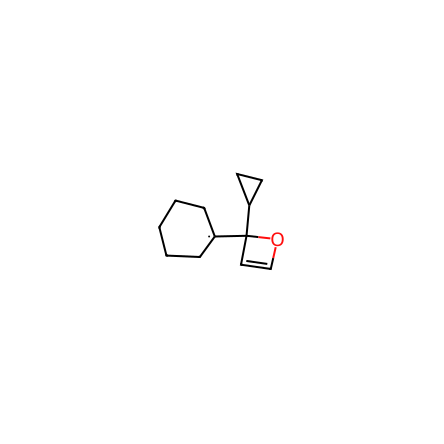 C1=CC([C]2CCCCC2)(C2CC2)O1